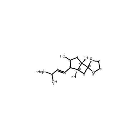 CCCCCCCC(O)C=CC1C(O)C[C@H]2[C@H]1CC21OCCO1